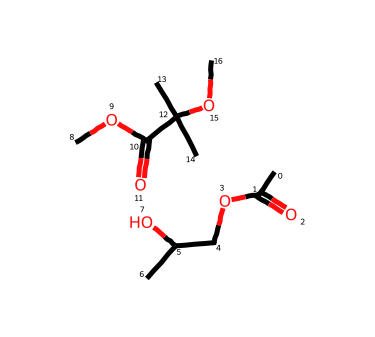 CC(=O)OCC(C)O.COC(=O)C(C)(C)OC